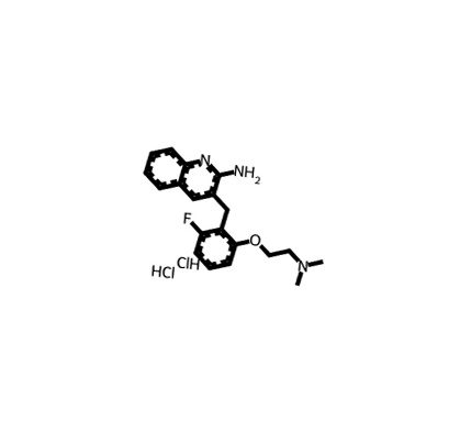 CN(C)CCOc1cccc(F)c1Cc1cc2ccccc2nc1N.Cl.Cl